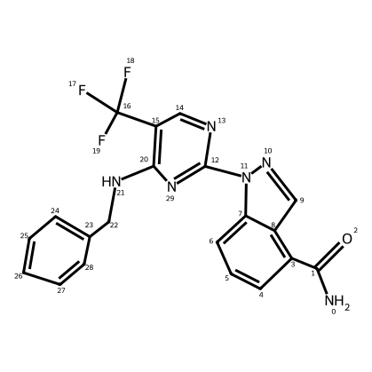 NC(=O)c1cccc2c1cnn2-c1ncc(C(F)(F)F)c(NCc2ccccc2)n1